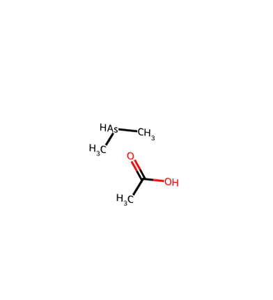 CC(=O)O.C[AsH]C